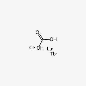 O=C(O)O.[Ce].[La].[Tb]